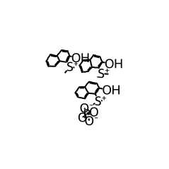 C[S+](C)c1c(O)ccc2ccccc12.C[S+](C)c1c(O)ccc2ccccc12.C[S+](C)c1c(O)ccc2ccccc12.O=P([O-])([O-])[O-]